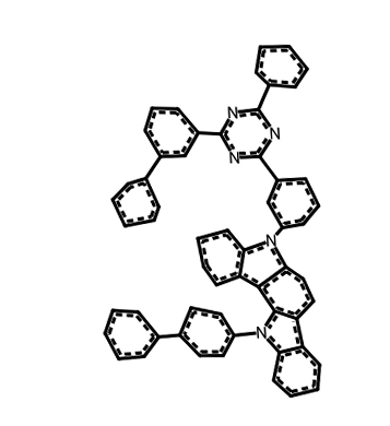 c1ccc(-c2ccc(-n3c4ccccc4c4ccc5c(c6ccccc6n5-c5cccc(-c6nc(-c7ccccc7)nc(-c7cccc(-c8ccccc8)c7)n6)c5)c43)cc2)cc1